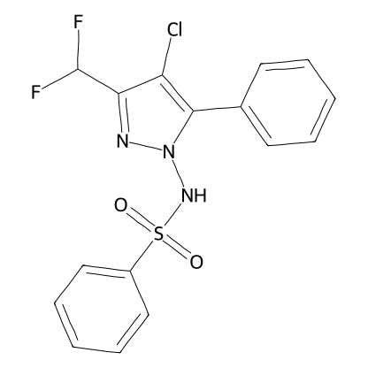 O=S(=O)(Nn1nc(C(F)F)c(Cl)c1-c1ccccc1)c1ccccc1